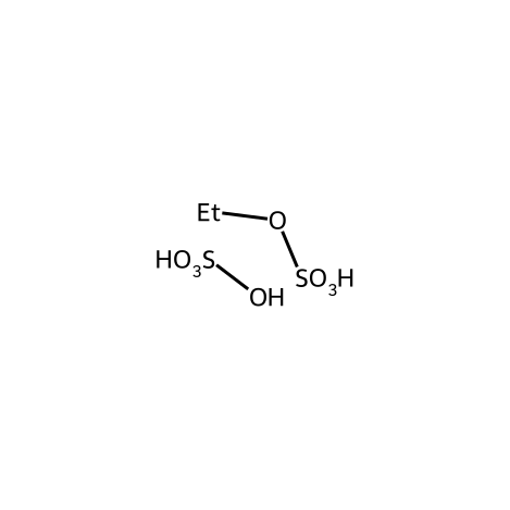 CCOS(=O)(=O)O.O=S(=O)(O)O